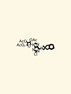 CC(=O)OC[C@H]1O[C@@H](n2cnc3c(N4CC5(Cc6ccccc6C5)C4)nc(Cl)nc32)C(OC(C)=O)C1OC(C)=O